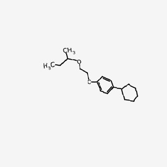 CCC(C)OCCOc1ccc(C2CCCCC2)cc1